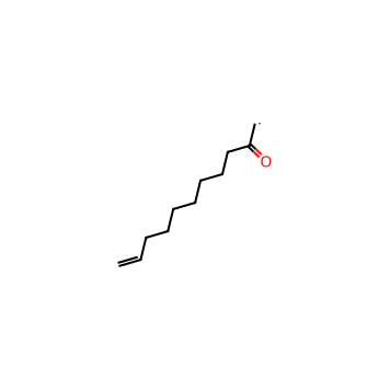 [CH2]C(=O)CCCCCCCC=C